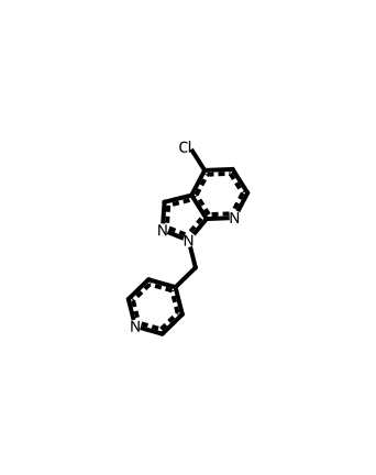 Clc1ccnc2c1cnn2Cc1ccncc1